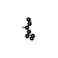 Brc1cc(-c2ccc3sc4ccccc4c3c2)cc(-c2ccc3c(c2)c2ccccc2n3-c2cccc3ccccc23)c1